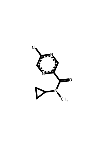 CN(C(=O)c1cnc(Cl)cn1)C1CC1